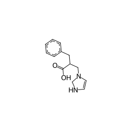 O=C(O)C(Cc1ccccc1)CN1C=CNC1